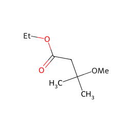 CCOC(=O)CC(C)(C)OC